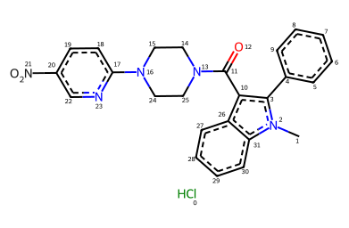 Cl.Cn1c(-c2ccccc2)c(C(=O)N2CCN(c3ccc([N+](=O)[O-])cn3)CC2)c2ccccc21